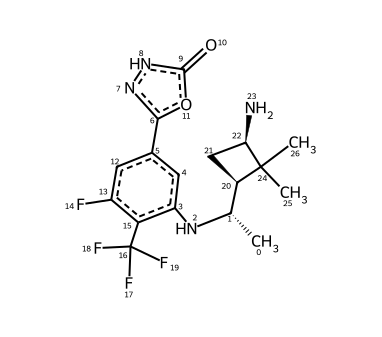 C[C@H](Nc1cc(-c2n[nH]c(=O)o2)cc(F)c1C(F)(F)F)[C@H]1C[C@@H](N)C1(C)C